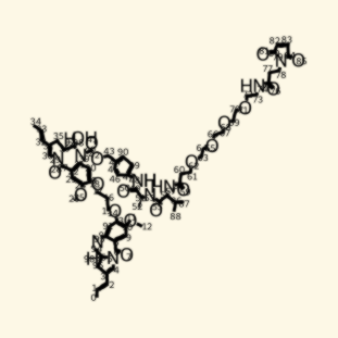 C/C=C/C1=CN2C(=O)c3cc(OC)c(OCCCOc4cc5c(cc4OC)C(=O)N4C=C(/C=C/C)C[C@H]4[C@H](O)N5C(=O)OCc4ccc(NC(=O)[C@H](C)NC(=O)[C@@H](NC(=O)CCOCCOCCOCCOCCNC(=O)CCN5C(=O)C=CC5=O)C(C)C)cc4)cc3N=C[C@@H]2C1